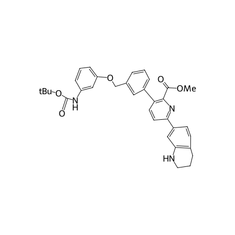 COC(=O)c1nc(-c2ccc3c(c2)NCCC3)ccc1-c1cccc(COc2cccc(NC(=O)OC(C)(C)C)c2)c1